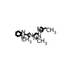 CCc1cnn(-c2cc(N3CC(c4nc5ccccc5n4C)C3)nc(C)n2)c1